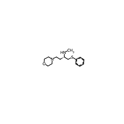 CN[C@H](CCN1CCOCC1)CSc1ccccc1